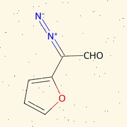 [N-]=[N+]=C(C=O)c1ccco1